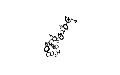 O=C(O)c1ccc2nc(Cc3cc(F)c(-c4cccc(OCc5ccc(-c6cnn(CC7CC7)c6)cc5F)n4)cc3F)n(C[C@@H]3CCO3)c2c1